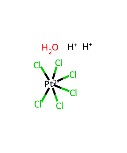 O.[Cl][Pt-2]([Cl])([Cl])([Cl])([Cl])[Cl].[H+].[H+]